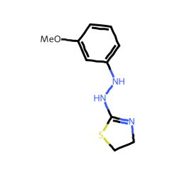 COc1cccc(NNC2=NCCS2)c1